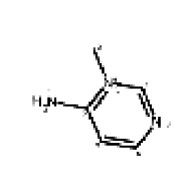 C[n+]1cnccc1N